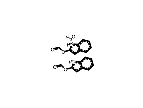 O.O=COc1cc2ccccc2[nH]1.O=COc1cc2ccccc2[nH]1